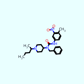 CCCC(C)N1CCC(N(Cc2ccccc2)C(=O)Nc2ccc(C)c([N+](=O)[O-])c2)CC1